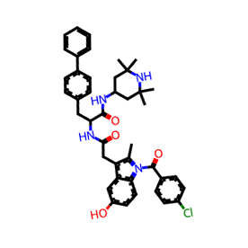 Cc1c(CC(=O)NC(Cc2ccc(C3=C=C=CC=C3)cc2)C(=O)NC2CC(C)(C)NC(C)(C)C2)c2cc(O)ccc2n1C(=O)c1ccc(Cl)cc1